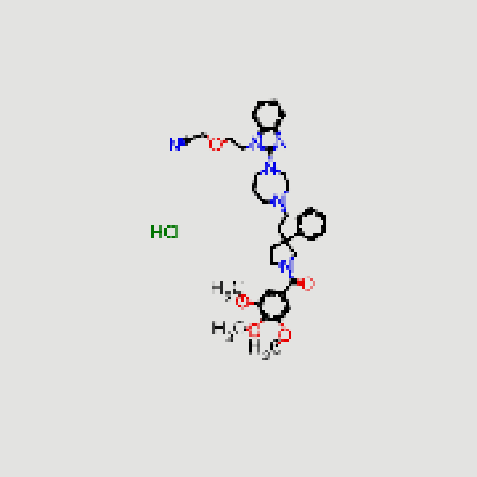 COc1cc(C(=O)N2CCC(CCN3CCCN(c4nc5ccccc5n4CCOCC#N)CC3)(c3ccccc3)C2)cc(OC)c1OC.Cl